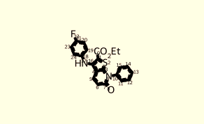 CCOC(=O)c1sc2c(ccc(=O)n2-c2ccccc2)c1Nc1ccc(F)cc1